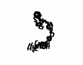 CC(C)NC[C@@H](O)COc1ccc(OCCN2CCN(CCCN3c4ccccc4Sc4ccc(Cl)cc43)CC2)cc1